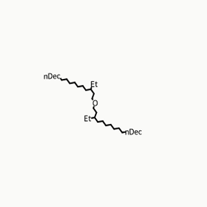 CCCCCCCCCCCCCCCCCC(CC)CCOCCC(CC)CCCCCCCCCCCCCCCCC